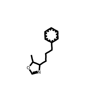 CC1OC=NC1CCCc1ccccc1